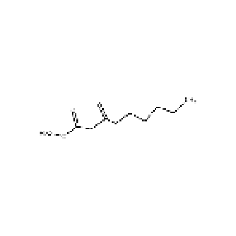 CCCCCCC(=O)CC(=O)OC